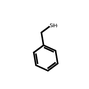 [SiH]Cc1ccccc1